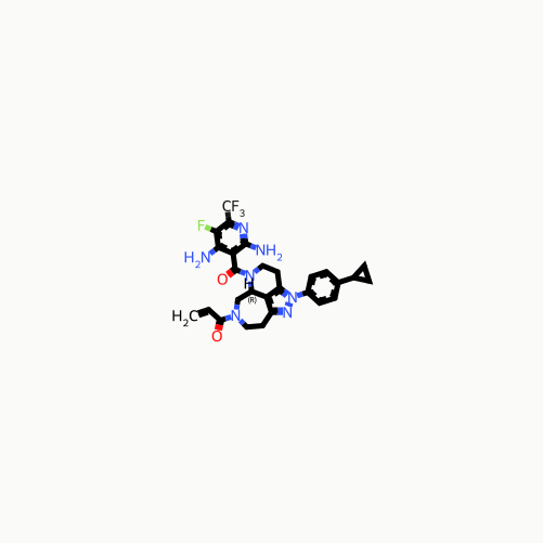 C=CC(=O)N1CCc2nn(-c3ccc(C4CC4)cc3)c3c2[C@H](C1)N(C(=O)c1c(N)nc(C(F)(F)F)c(F)c1N)CC3